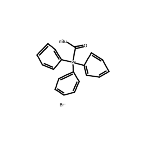 CCCCC(=O)[P+](c1ccccc1)(c1ccccc1)c1ccccc1.[Br-]